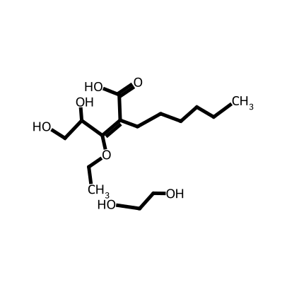 CCCCCCC(C(=O)O)=C(OCC)C(O)CO.OCCO